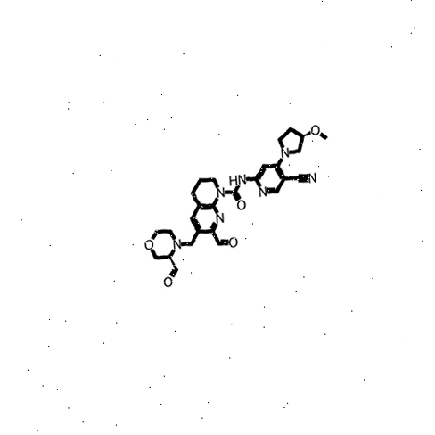 CO[C@@H]1CCN(c2cc(NC(=O)N3CCCc4cc(CN5CCOC[C@@H]5C=O)c(C=O)nc43)ncc2C#N)C1